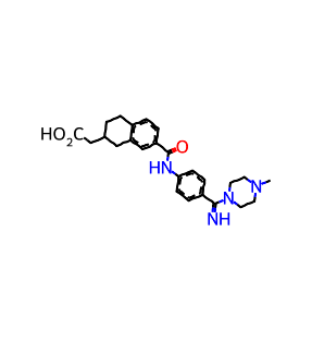 CN1CCN(C(=N)c2ccc(NC(=O)c3ccc4c(c3)CC(CC(=O)O)CC4)cc2)CC1